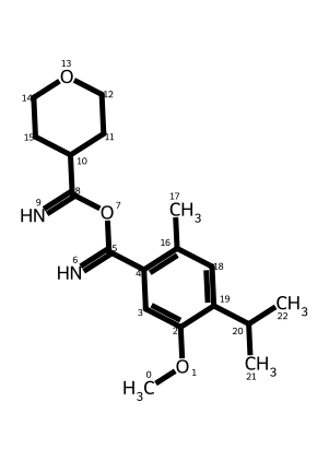 COc1cc(C(=N)OC(=N)C2CCOCC2)c(C)cc1C(C)C